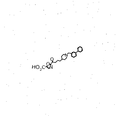 O=C(O)c1cnc(C(=O)CCCC2CCN(Cc3cccc(-c4ccccc4)c3)CC2)o1